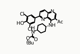 CC(=O)c1cnc2ccc(-c3cc(Cl)c(O)c(Cl)c3)nc2c1N[C@H]1CC[C@H](NC(=O)OC(C)(C)C)CC1